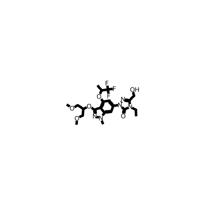 CCn1c(CO)nn(-c2cc(OC(C)C(F)(F)F)c3c(OC(COC)COC)nn(C)c3c2)c1=O